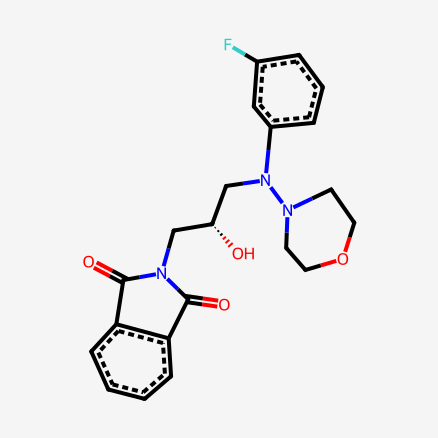 O=C1c2ccccc2C(=O)N1C[C@@H](O)CN(c1cccc(F)c1)N1CCOCC1